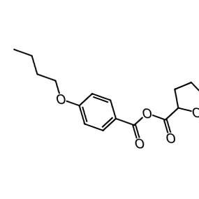 CCCCOc1ccc(C(=O)OC(=O)C2CCCO2)cc1